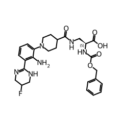 Nc1c(C2=NCC(F)CN2)cccc1N1CCC(C(=O)NC[C@H](NC(=O)OCc2ccccc2)C(=O)O)CC1